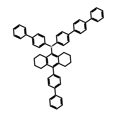 c1ccc(-c2ccc(-c3ccc(N(c4ccc(-c5ccccc5)cc4)c4c5c(c(-c6ccc(-c7ccccc7)cc6)c6c4CCCC6)CCCC5)cc3)cc2)cc1